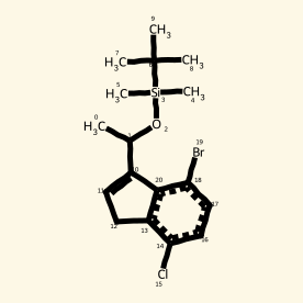 CC(O[Si](C)(C)C(C)(C)C)C1=CCc2c(Cl)ccc(Br)c21